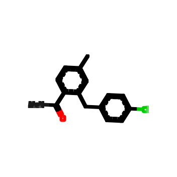 CNC(=O)c1ccc(C)cc1Cc1ccc(Cl)cc1